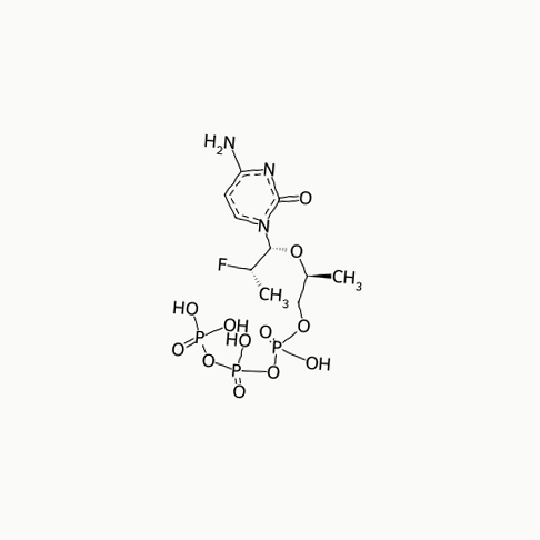 C[C@H](F)[C@@H](O[C@@H](C)COP(=O)(O)OP(=O)(O)OP(=O)(O)O)n1ccc(N)nc1=O